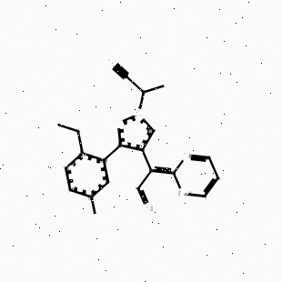 CCc1ccc(Cl)cc1-c1nn(C(C)C#N)cc1/C(C=N)=C1\N=CC=CN1